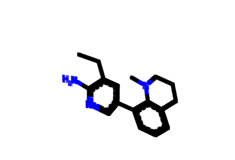 CCc1cc(-c2cccc3c2N(C)CCC3)cnc1N